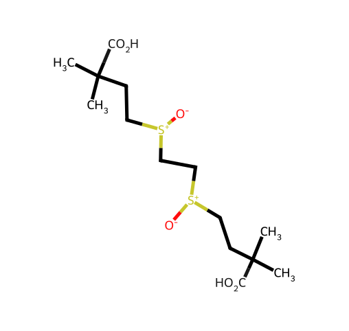 CC(C)(CC[S+]([O-])CC[S+]([O-])CCC(C)(C)C(=O)O)C(=O)O